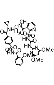 COc1cc(OC)nc(NC(=O)NS(=O)(=O)c2ncccc2C(=O)N(C)C)n1.COc1ccccc1C(=O)NS(=O)(=O)c1ccc(C(=O)NC2CC2)cc1